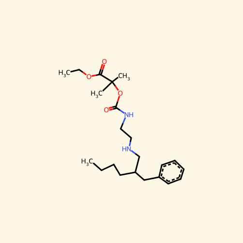 CCCCC(CNCCNC(=O)OC(C)(C)C(=O)OCC)Cc1ccccc1